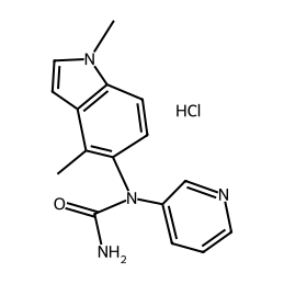 Cc1c(N(C(N)=O)c2cccnc2)ccc2c1ccn2C.Cl